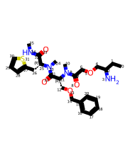 CCC(N)COCC(=O)N(C)[C@H](COCc1ccccc1)C(=O)N(C)[C@H](Cc1cccs1)C(=O)NC